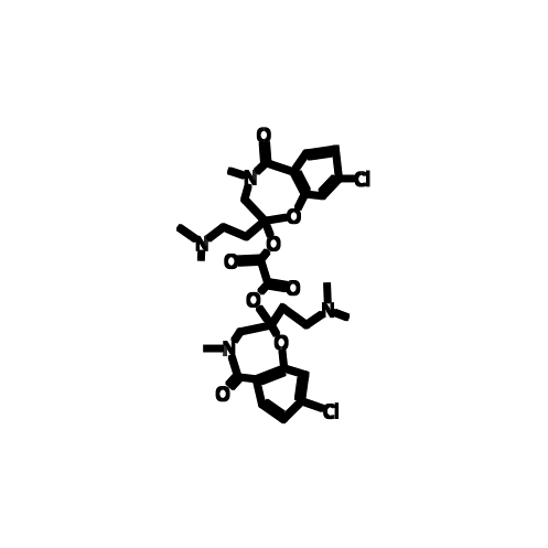 CN(C)CCC1(OC(=O)C(=O)OC2(CCN(C)C)CN(C)C(=O)c3ccc(Cl)cc3O2)CN(C)C(=O)c2ccc(Cl)cc2O1